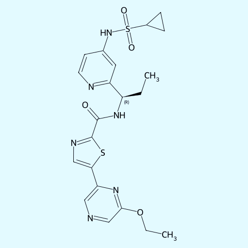 CCOc1cncc(-c2cnc(C(=O)N[C@H](CC)c3cc(NS(=O)(=O)C4CC4)ccn3)s2)n1